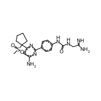 CS(=O)(=O)C1(c2cc(N)nc(-c3ccc(NC(=O)NCC(=N)N)cc3)n2)CCCC1